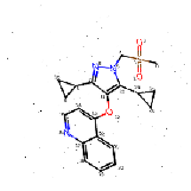 CS(=O)(=O)Cn1nc(C2CC2)c(Oc2ccnc3ccccc23)c1C1CC1